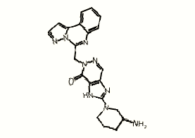 NC1CCCN(c2nc3cnn(Cc4nc5ccccc5c5ccnn45)c(=O)c3[nH]2)C1